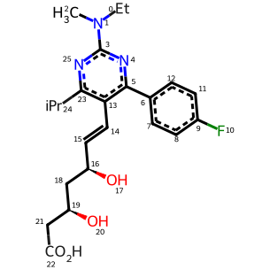 CCN(C)c1nc(-c2ccc(F)cc2)c(/C=C/[C@@H](O)C[C@@H](O)CC(=O)O)c(C(C)C)n1